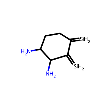 NC1CCC(=[SiH2])C(=[SiH2])C1N